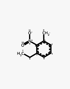 [CH2]c1cccc(CC)c1[N+](=O)[O-]